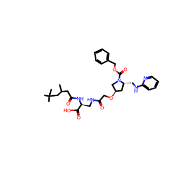 CC(CC(=O)N[C@@H](CNC(=O)CO[C@@H]1C[C@@H](CNc2ccccn2)N(C(=O)OCc2ccccc2)C1)C(=O)O)CC(C)(C)C